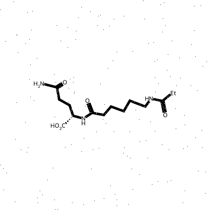 CCC(=O)NCCCCCC(=O)N[C@@H](CCC(N)=O)C(=O)O